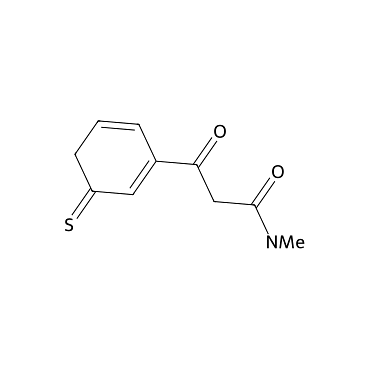 CNC(=O)CC(=O)C1=CC(=S)CC=C1